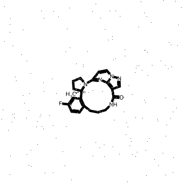 C[C@]12CCCN1c1ccn3ncc(c3n1)C(=O)NCCCc1ccc(F)cc12